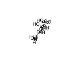 O=C(CCCCC1SC[C@@H]2NC(=O)N[C@H]12)NCCC(=O)NC(=S)Nc1ccc(-c2c3ccc(=O)cc-3oc3cc(O)ccc23)c(C(=O)O)c1